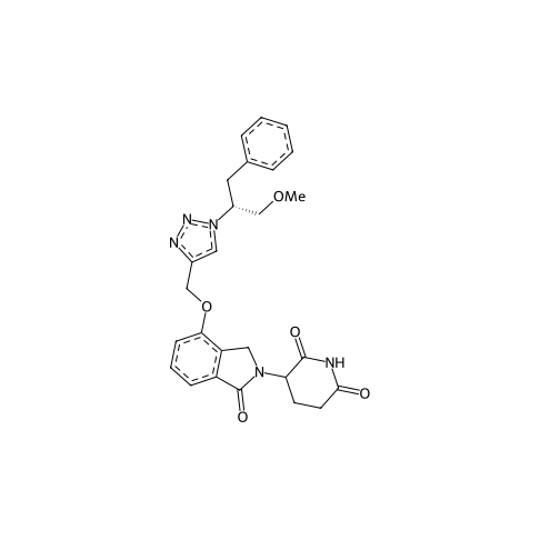 COC[C@@H](Cc1ccccc1)n1cc(COc2cccc3c2CN(C2CCC(=O)NC2=O)C3=O)nn1